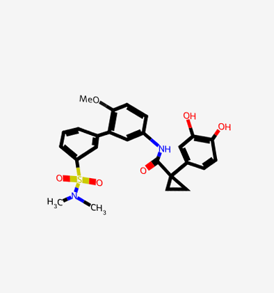 COc1ccc(NC(=O)C2(c3ccc(O)c(O)c3)CC2)cc1-c1cccc(S(=O)(=O)N(C)C)c1